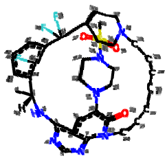 C[C@H]1Nc2ncnc3c2cc(N2CCN(S(C)(=O)=O)CC2)c(=O)n3CCCCCCCN2CCC(CC2)C(F)(F)c2cccc1c2F